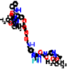 CN[C@@H](C)C(=O)N[C@H](C(=O)N1Cc2cc(OCCOCCOCCOCCNCc3ccc(-n4cc(NC(=O)c5coc(-c6ccnc(N(CC7CC7)C(=O)OC(C)(C)C)c6)n5)c(C(F)F)n4)cc3)ccc2C[C@H]1C(=O)N[C@@H]1CCCc2ccccc21)C(C)(C)C